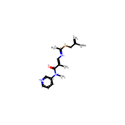 C=C(CS/C(C)=N/C=C(\C)C(=O)N(C)c1cccnc1)NC